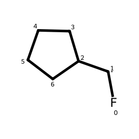 F[CH]C1CCCC1